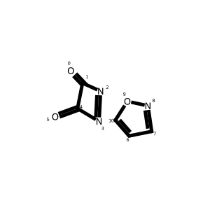 O=c1nnc1=O.c1cnoc1